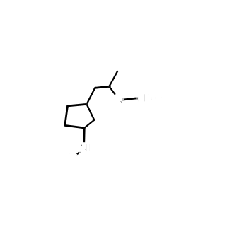 CCCCCNC(C)CC1CCC(NC(C)C)C1